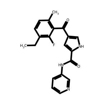 CCc1ccc(C)c(C(=O)c2c[nH]c(C(=O)Nc3cccnc3)c2)c1F